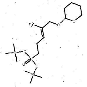 C[Si](C)(C)OP(=O)(CCC=C(COC1CCCCO1)C(F)(F)F)O[Si](C)(C)C